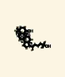 C[C@H](CCCC(C)(C)O)[C@H]1CC[C@@]2(C)[C@@H]3CC[C@H]4C(C)(C)CCC(O)[C@@]45C[C@@]35CC[C@]12C